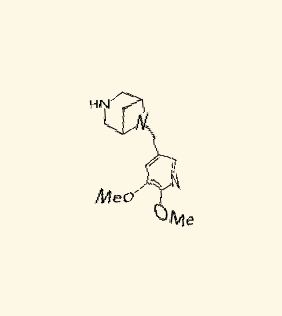 COc1cc(CN2C3CNCC2C3)cnc1OC